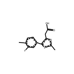 Cc1nc(CC(=O)O)c(-c2ccc(C)c(F)c2)s1